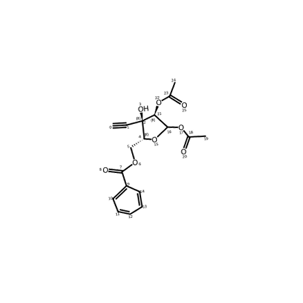 C#C[C@@]1(O)[C@@H](COC(=O)c2ccccc2)OC(OC(C)=O)[C@@H]1OC(C)=O